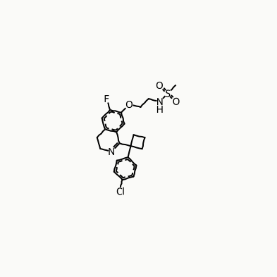 CS(=O)(=O)NCCOc1cc2c(cc1F)CCN=C2C1(c2ccc(Cl)cc2)CCC1